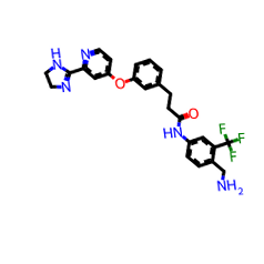 NCc1ccc(NC(=O)CCc2cccc(Oc3ccnc(C4=NCCN4)c3)c2)cc1C(F)(F)F